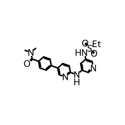 CCS(=O)(=O)Nc1cncc(Nc2ccc(-c3ccc(C(=O)N(C)C)cc3)cn2)c1